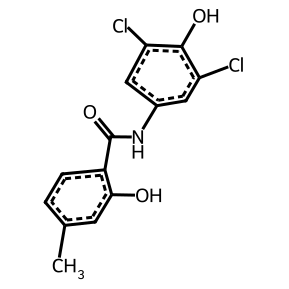 Cc1ccc(C(=O)Nc2cc(Cl)c(O)c(Cl)c2)c(O)c1